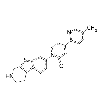 Cc1ccc(-c2ccn(-c3ccc4c5c(sc4c3)CNCC5)c(=O)c2)nc1